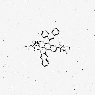 CS(C)(C)c1ccc2c(-c3cc4ccccc4c4ccccc34)c3cc(S(C)(C)C)ccc3c(-c3ccc4ccccc4c3)c2c1